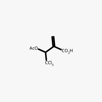 C=C(C(=O)O)C(OC(C)=O)C(Cl)(Cl)Cl